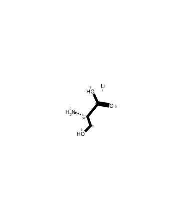 N[C@@H](CO)C(=O)O.[Li]